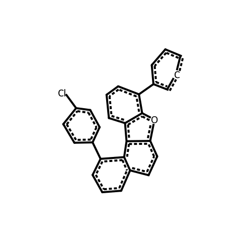 Clc1ccc(-c2cccc3ccc4oc5c(-c6ccccc6)cccc5c4c23)cc1